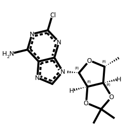 C[C@H]1O[C@@H](n2cnc3c(N)nc(Cl)nc32)[C@@H]2OC(C)(C)O[C@@H]21